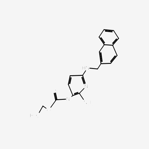 CCOC(=O)Nc1ccc(NCc2ccc3ccccc3c2)nc1N